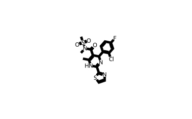 CC1=C(C(=O)N(C)S(C)(=O)=O)C(c2ccc(F)cc2Cl)N=C(c2nccs2)N1